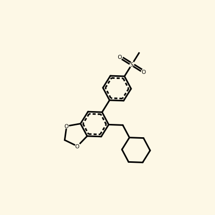 CS(=O)(=O)c1ccc(-c2cc3c(cc2CC2CCCCC2)OCO3)cc1